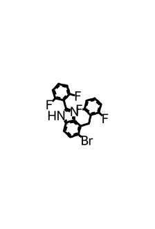 Fc1cccc(F)c1Cc1c(Br)ccc2[nH]c(-c3c(F)cccc3F)nc12